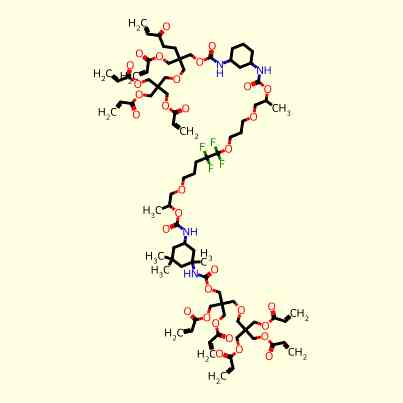 C=CC(=O)CCC(COCC(COC(=O)C=C)(COC(=O)C=C)COC(=O)C=C)(COC(=O)C=C)COC(=O)NC1CCCC(NC(=O)OC(C)COCCCOC(F)(F)C(F)(F)CCCOCC(C)OC(=O)NC2CC(C)(C)CC(C)(NC(=O)OCC(COCC(COC(=O)C=C)(COC(=O)C=C)COC(=O)C=C)(COC(=O)C=C)COC(=O)C=C)C2)C1